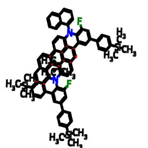 C[Si](C)(C)c1ccc(-c2cc(F)c(N(c3cccc4ccccc34)c3ccc4ccc5c(N(c6c(F)cc(-c7ccc([Si](C)(C)C)cc7)cc6-c6ccc([Si](C)(C)C)cc6)c6cccc7ccccc67)ccc6ccc3c4c65)c(-c3ccc([Si](C)(C)C)cc3)c2)cc1